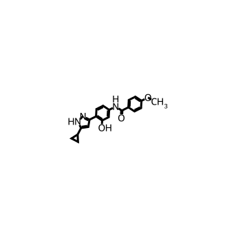 COc1ccc(C(=O)Nc2ccc(-c3cc(C4CC4)[nH]n3)c(O)c2)cc1